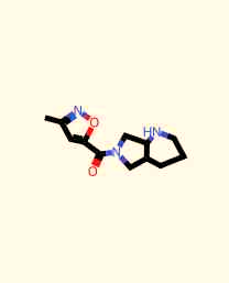 Cc1cc(C(=O)N2CC3CCCNC3C2)on1